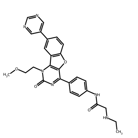 CCNCC(=O)Nc1ccc(-c2nc(=O)n(CCOC)c3c2oc2ccc(-c4cncnc4)cc23)cc1